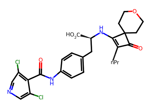 CCCC1=C(N[C@@H](Cc2ccc(NC(=O)c3c(Cl)cncc3Cl)cc2)C(=O)O)C2(CCOCC2)C1=O